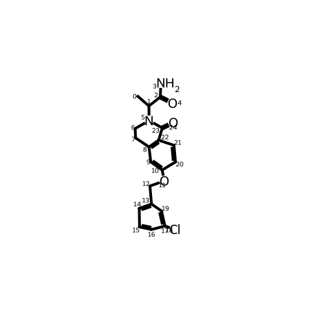 CC(C(N)=O)N1CCc2cc(OCc3cccc(Cl)c3)ccc2C1=O